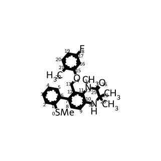 CSc1ccccc1-c1ccc2c(c1COc1cc(F)ccc1C)N(C)C(=O)C(C)(C)N2